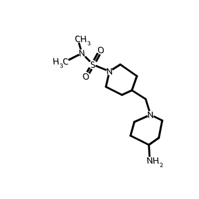 CN(C)S(=O)(=O)N1CCC(CN2CCC(N)CC2)CC1